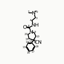 CN(C)CCNC(=O)N1CCC(C#N)(c2ccccc2)CC1